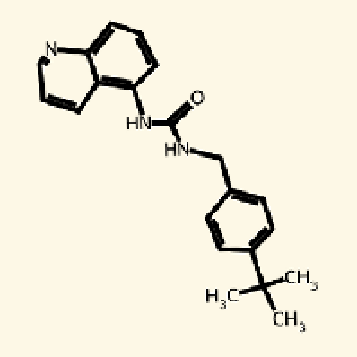 CC(C)(C)c1ccc(CNC(=O)Nc2cccc3ncccc23)cc1